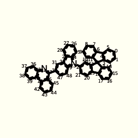 c1ccc2c(c1)-c1ccccc1C21c2ccccc2-c2ccc(-n3c4ccccc4c4cc(-c5nc6ccccc6c6ccccc56)ccc43)cc21